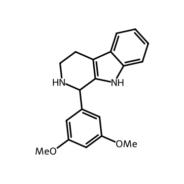 COc1cc(OC)cc(C2NCCc3c2[nH]c2ccccc32)c1